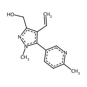 C=Cc1c(CO)nn(C)c1-c1ccc(C)nc1